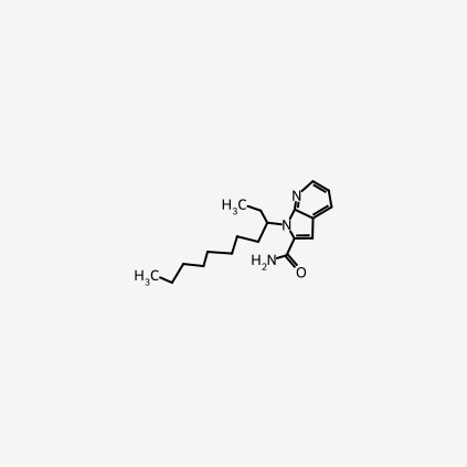 CCCCCCCCC(CC)n1c(C(N)=O)cc2cccnc21